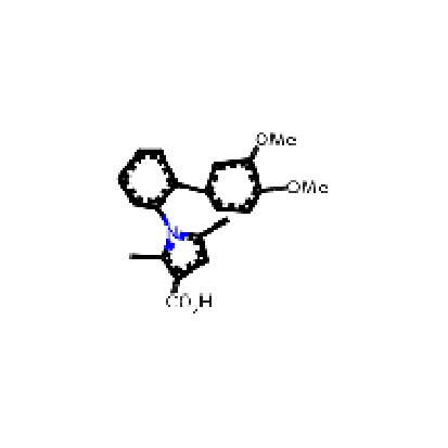 COc1ccc(-c2ccccc2-n2c(C)cc(C(=O)O)c2C)cc1OC